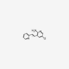 Nc1ncc(Cl)cc1/C=C/c1ccccn1